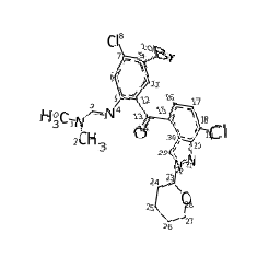 CN(C)/C=N/c1cc(Cl)c(Br)cc1C(=O)c1ccc(Cl)c2nn(C3CCCCO3)cc12